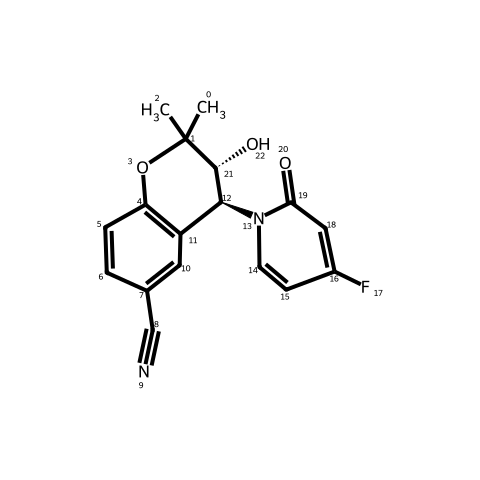 CC1(C)Oc2ccc(C#N)cc2[C@H](n2ccc(F)cc2=O)[C@H]1O